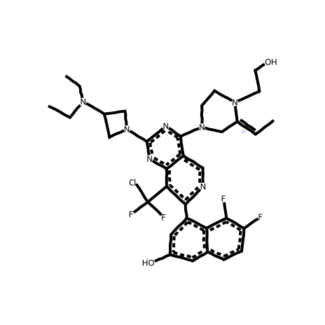 C/C=C1/CN(c2nc(N3CC(N(CC)CC)C3)nc3c(C(F)(F)Cl)c(-c4cc(O)cc5ccc(F)c(F)c45)ncc23)CCN1CCO